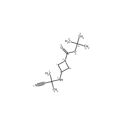 CC(C)(C#N)NC1CN(C(=O)OC(C)(C)C)C1